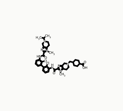 CC(C)N1CCc2c(nc(C(=O)Nc3cccc(-c4cccc(NC(=O)c5nc6c(n5C)CCN(CC5CCC(C(=O)O)CC5)C6)c4Cl)c3Cl)n2C)C1